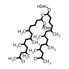 CCCCCCCCCCOC(CCCC(C)CC(C)CC(C)CC(C)CC(C)Cl)OC(CCCC(C)CC(C)CC(C)CC(C)CC(C)Cl)OCCCCCCCCCC